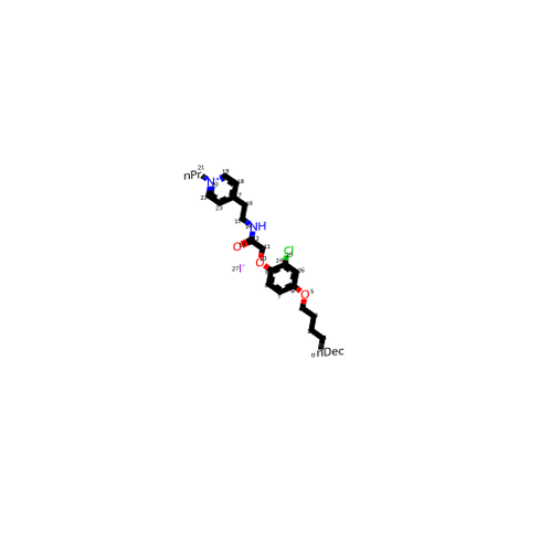 CCCCCCCCCCCCCCOc1ccc(OCC(=O)NCCc2cc[n+](CCC)cc2)c(Cl)c1.[I-]